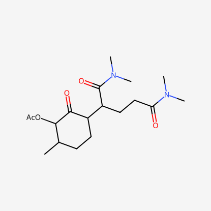 CC(=O)OC1C(=O)C(C(CCC(=O)N(C)C)C(=O)N(C)C)CCC1C